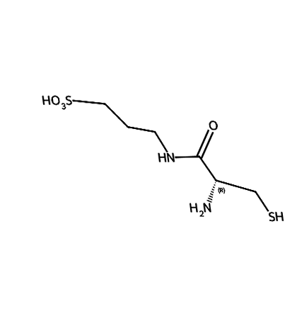 N[C@@H](CS)C(=O)NCCCS(=O)(=O)O